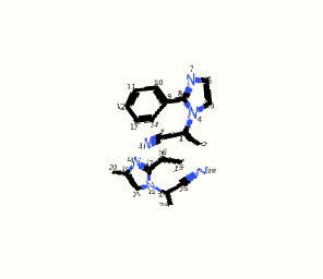 CC(C#N)n1ccnc1-c1ccccc1.CCc1nc(C)cn1C(C)C#N